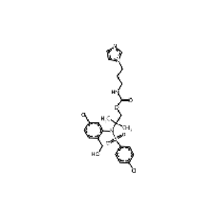 CC(C)(COC(=O)NCCCn1ccnc1)N(c1cc(Cl)ccc1CO)S(=O)(=O)c1ccc(Cl)cc1